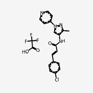 Cc1nn(-c2ccncc2)cc1NC(=O)C=Cc1ccc(Cl)cc1.O=C(O)C(F)(F)F